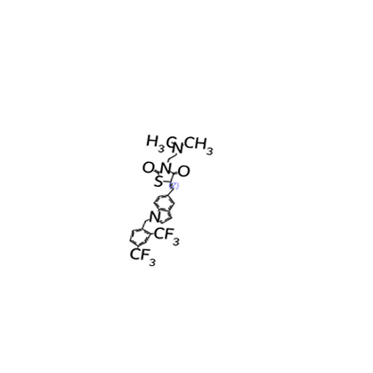 CN(C)CCN1C(=O)S/C(=C\c2ccc3c(ccn3Cc3ccc(C(F)(F)F)cc3C(F)(F)F)c2)C1=O